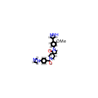 COc1cc(N2CCC3(CCN(C(=O)c4ccc(-n5ccnc5)cc4)CC3)C2=O)ccc1-c1cn[nH]c1